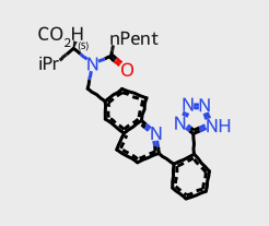 CCCCCC(=O)N(Cc1ccc2nc(-c3ccccc3-c3nnn[nH]3)ccc2c1)[C@H](C(=O)O)C(C)C